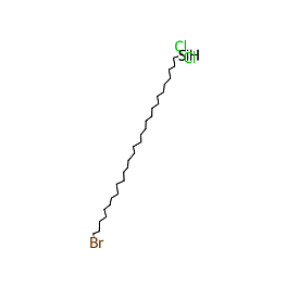 Cl[SiH](Cl)CCCCCCCCCCCCCCCCCCCCCCCCCCCCCBr